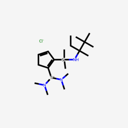 CCC(C)(N[Si](C)(C)C1=[C]([Ti+]([N](C)C)[N](C)C)CC=C1)C(C)(C)C.[Cl-]